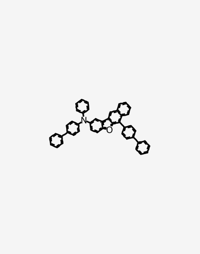 c1ccc(-c2ccc(-c3c4ccccc4cc4c3oc3ccc(N(c5ccccc5)c5ccc(-c6ccccc6)cc5)cc34)cc2)cc1